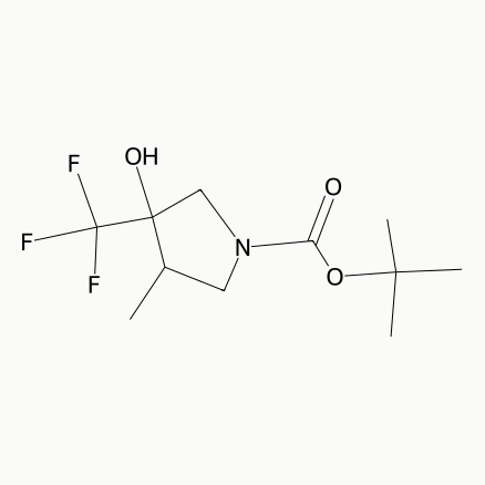 CC1CN(C(=O)OC(C)(C)C)CC1(O)C(F)(F)F